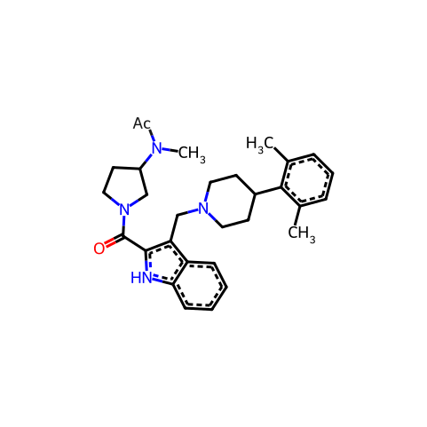 CC(=O)N(C)C1CCN(C(=O)c2[nH]c3ccccc3c2CN2CCC(c3c(C)cccc3C)CC2)C1